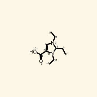 CCC1N(CC)C=C(C(=O)O)N1CC